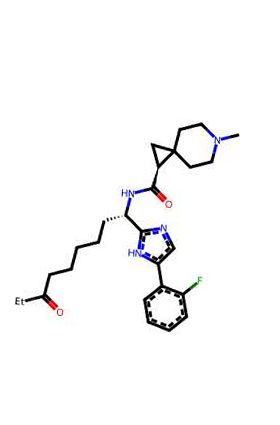 CCC(=O)CCCCC[C@H](NC(=O)[C@H]1CC12CCN(C)CC2)c1ncc(-c2ccccc2F)[nH]1